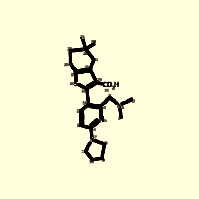 CN(C)Cc1nc(N2CCCC2)ccc1-c1sc2c(c1C(=O)O)CC(C)(C)CC2